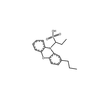 CCCc1ccc2c(c1)N(C(CC)S(=O)(=O)O)c1ccccc1O2